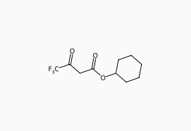 O=C(CC(=O)C(F)(F)F)OC1CCCCC1